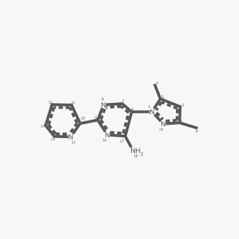 Cc1cc(C)n(-c2cnc(-c3ccccn3)nc2N)n1